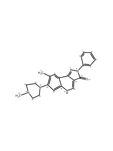 Cc1cc2c3nn(-c4ccccc4)c(=O)c-3c[nH]c2cc1N1CCN(C)CC1